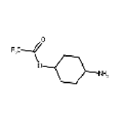 NC1CCC(OC(=O)C(F)(F)F)CC1